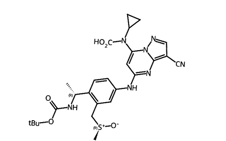 C[C@@H](NC(=O)OC(C)(C)C)c1ccc(Nc2cc(N(C(=O)O)C3CC3)n3ncc(C#N)c3n2)cc1C[S@+](C)[O-]